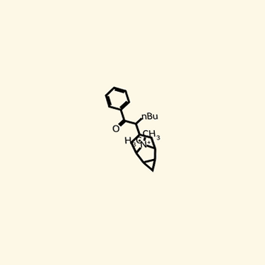 CCCCC(C(=O)c1ccccc1)C1CC2C3CC3C(C1)[N+]2(C)C